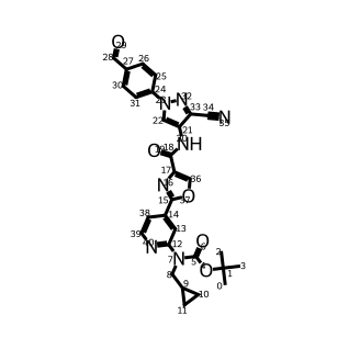 CC(C)(C)OC(=O)N(CC1CC1)c1cc(-c2nc(C(=O)Nc3cn(-c4ccc(C=O)cc4)nc3C#N)co2)ccn1